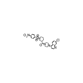 O=C(C1CCCN(S(=O)(=O)c2ccc([N+](=O)[O-])cc2)C1)N1CCN(c2ccnc3cc(Cl)ccc23)CC1